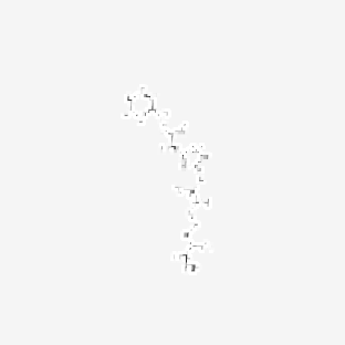 O=C(CCCNC(=O)Cc1csc(NC(=O)OCc2ccncc2)n1)NO